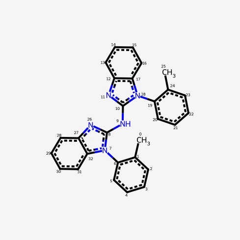 Cc1ccccc1-n1c(Nc2nc3ccccc3n2-c2ccccc2C)nc2ccccc21